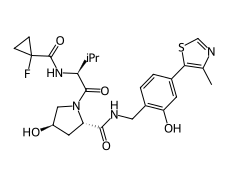 Cc1ncsc1-c1ccc(CNC(=O)[C@@H]2C[C@@H](O)CN2C(=O)[C@@H](NC(=O)C2(F)CC2)C(C)C)c(O)c1